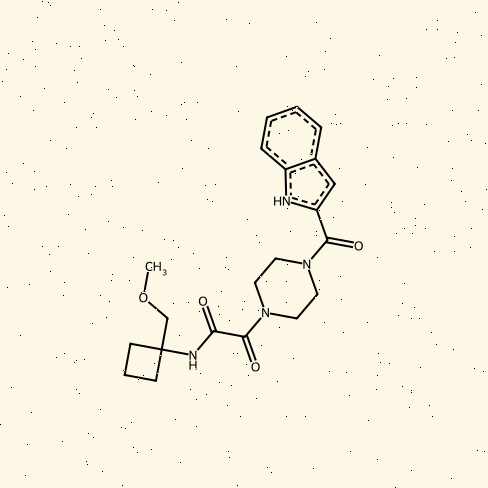 COCC1(NC(=O)C(=O)N2CCN(C(=O)c3cc4ccccc4[nH]3)CC2)CCC1